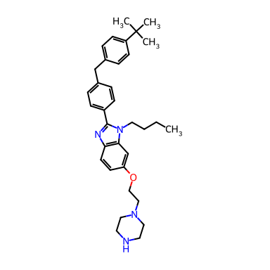 CCCCn1c(-c2ccc(Cc3ccc(C(C)(C)C)cc3)cc2)nc2ccc(OCCN3CCNCC3)cc21